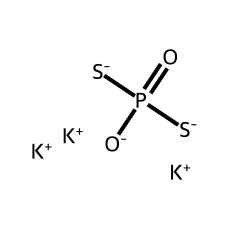 O=P([O-])([S-])[S-].[K+].[K+].[K+]